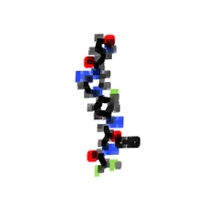 O=CO[C@@H](CNC(=O)C(F)F)CNc1ccc(N2CCNN(C(=O)Cc3ccon3)CC2)c(F)c1